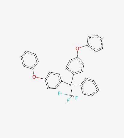 FC(F)(F)C(c1ccccc1)(c1ccc(Oc2ccccc2)cc1)c1ccc(Oc2ccccc2)cc1